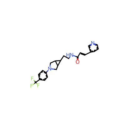 O=C(/C=C/c1cccnc1)NCCC1C2CN(c3ccc(C(F)(F)F)cc3)CC12